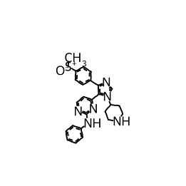 C[S+]([O-])c1ccc(-c2ncn(C3CCNCC3)c2-c2ccnc(Nc3ccccc3)n2)cc1